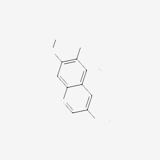 CCOc1cc2ncc(C(=O)O)cc2cc1F.N